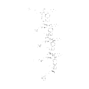 COc1ccc(NC(=O)[C@H](CCCCN)NC(=O)c2cc(NC(=O)[C@H](CCCCN)NC(=O)c3cc(NC(=O)[C@H](CCCCN)NC(=O)c4cc(NC(=O)[C@@H](N)CCCCCN)ccc4OC)ccc3OC)ccc2OC)cc1C(=O)NCCC(=O)O